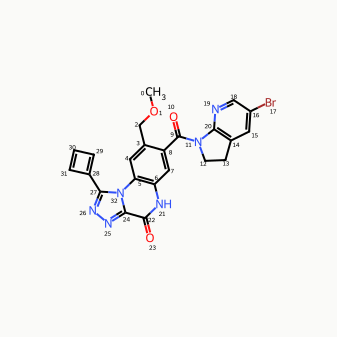 COCc1cc2c(cc1C(=O)N1CCc3cc(Br)cnc31)[nH]c(=O)c1nnc(C3=CC=C3)n12